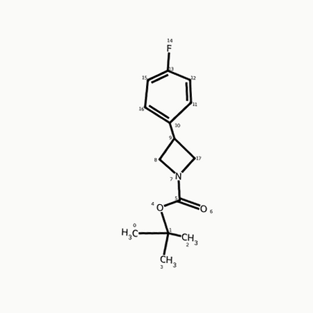 CC(C)(C)OC(=O)N1CC(c2ccc(F)cc2)C1